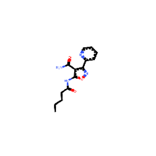 CCCCC(=O)Nc1onc(-c2ccccn2)c1C(N)=O